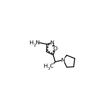 CC(c1cc(N)no1)N1CCCC1